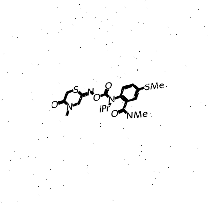 CNC(=O)c1cc(SC)ccc1N(C(=O)ON=C1CN(C)C(=O)CS1)C(C)C